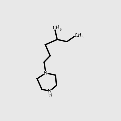 CCC(C)CCCN1CCNCC1